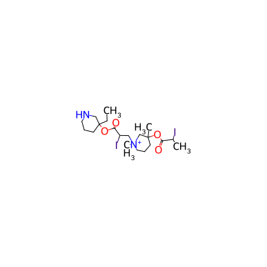 CCC1(OC(=O)C(I)C[N+]2(C)CCCC(C)(OC(=O)C(C)I)C2)CCCNC1